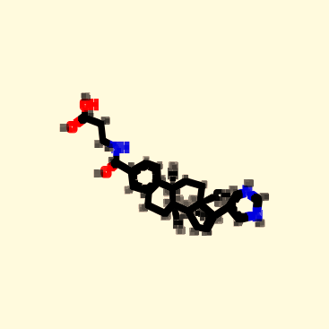 C[C@]12CC[C@@H]3c4ccc(C(=O)NCCC(=O)O)cc4CC[C@H]3[C@@H]1CC=C2c1cncnc1